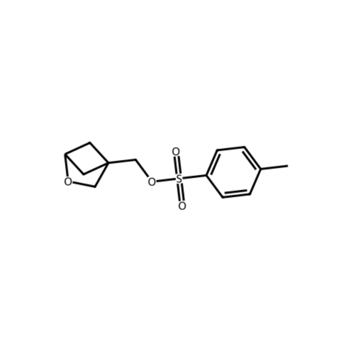 Cc1ccc(S(=O)(=O)OCC23COC(C2)C3)cc1